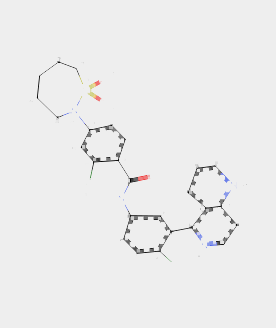 O=C(Nc1ccc(Cl)c(-c2nccc3ncccc23)c1)c1ccc(N2CCCCCS2(=O)=O)cc1Cl